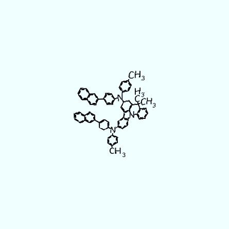 Cc1ccc(N(C2=CC=C(c3ccc4ccccc4c3)CC2)c2ccc3c(c2)c2c4n3-c3ccccc3C(C)(C)C=4CC(N(c3ccc(C)cc3)c3ccc(-c4ccc5ccccc5c4)cc3)C=2)cc1